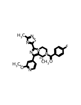 COc1cc(-c2nc(-c3nc(C)ns3)n3c2[C@@H](C)N(C(=O)c2ccc(F)cc2)CC3)ccn1